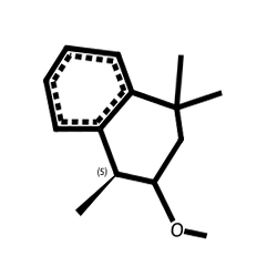 COC1CC(C)(C)c2ccccc2[C@@H]1C